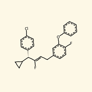 FC(=CCc1ccc(F)c(Oc2ccccc2)c1)[C@@H](c1ccc(Cl)cc1)C1CC1